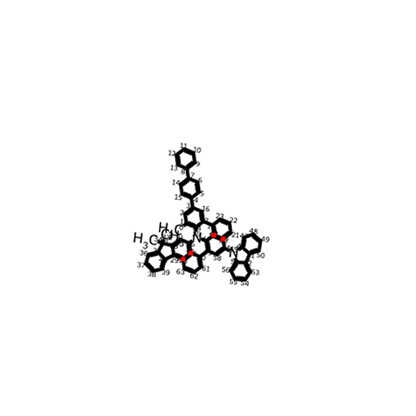 Cc1cc(-c2ccc(-c3ccccc3)cc2)cc(-c2ccccc2)c1N(c1ccc2c(c1)C(C)(C)c1ccccc1-2)c1ccc(-n2c3ccccc3c3ccccc32)cc1-c1ccccc1